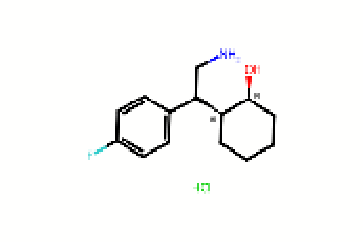 Cl.NCC(c1ccc(F)cc1)[C@@H]1CCCC[C@@H]1O